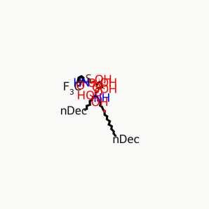 CCCCCCCCCCCCCCCCCCCCCCCCCCN[C@@H](CO[C@H]1O[C@H](COC(=S)Nc2ccccc2OC(F)(F)F)[C@H](O)[C@H](O)[C@H]1O)[C@H](O)[C@H](O)CCCCCCCCCCCCCC